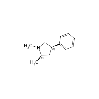 C[C@@H]1C[C@H](c2ccccc2)CN1C